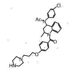 CC(=O)N(c1ccc(Cl)cc1)C1CC(C)N(C(=O)c2ccc(OCCCN3CCNCC3)cc2)c2ccccc21